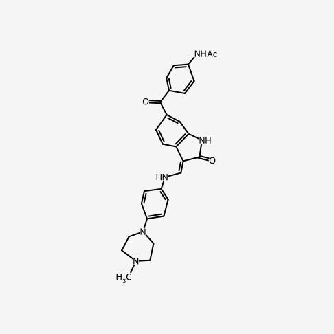 CC(=O)Nc1ccc(C(=O)c2ccc3c(c2)NC(=O)C3=CNc2ccc(N3CCN(C)CC3)cc2)cc1